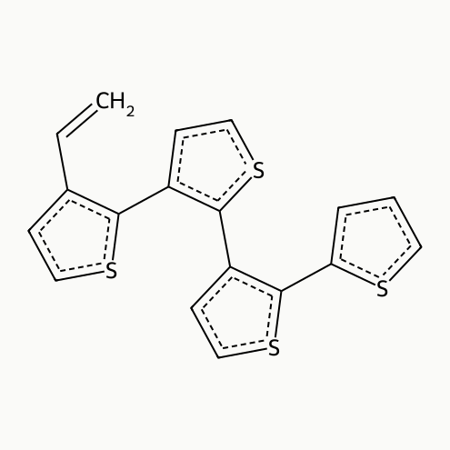 C=Cc1ccsc1-c1ccsc1-c1ccsc1-c1cccs1